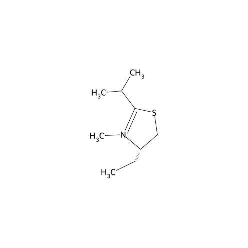 CC[C@H]1CSC(C(C)C)=[N+]1C